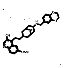 COc1ccc2ncc(C#N)c(CCC3CC4CC(NCc5ccc6c(c5)OCCO6)CC(C3)N4)c2c1